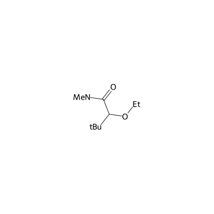 CCOC(C(=O)NC)C(C)(C)C